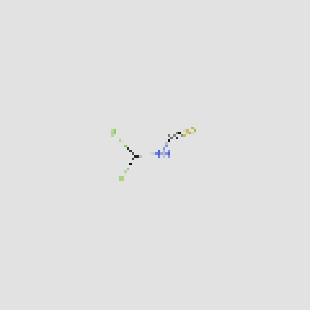 FC(F)N[C]=S